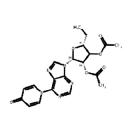 CC[C@H]1O[C@@H](n2cnc3c(-n4ccc(=O)cc4)ncnc32)[C@@H](OC(C)=O)C1OC(C)=O